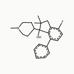 CN1CCC(C2(O)c3c(-c4ccccc4)ccc(F)c3CC2(C)C)CC1